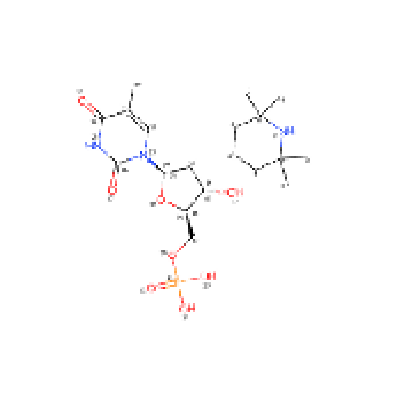 CC1(C)CCCC(C)(C)N1.Cc1cn([C@H]2C[C@H](O)[C@@H](COP(=O)(O)O)O2)c(=O)[nH]c1=O